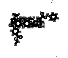 C=C(C)[C@@H]1CC[C@]2(C(=O)N3CCC(C(=O)OCC)CC3)CC[C@]3(C)[C@H](CC[C@@H]4[C@]5(C)CC[C@H]([C@@]6(C(=O)O)C[C@@H](C(=O)OCc7ccccc7)C6(C)C)C(C)(C)[C@H]5CC[C@]43C)[C@@H]12